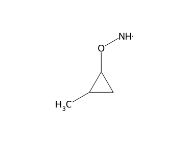 CC1CC1O[NH]